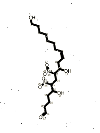 CCCCCCCC/C=C\CC(O)C(CC(C(O)CCCC=O)[N+](=O)[O-])[N+](=O)[O-]